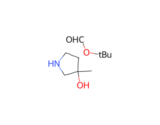 CC(C)(C)OC=O.CC1(O)CCNC1